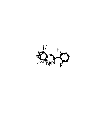 CC1(C)[C@H]2CC[C@]1(C)c1nnc(-c3c(F)cccc3F)cc12